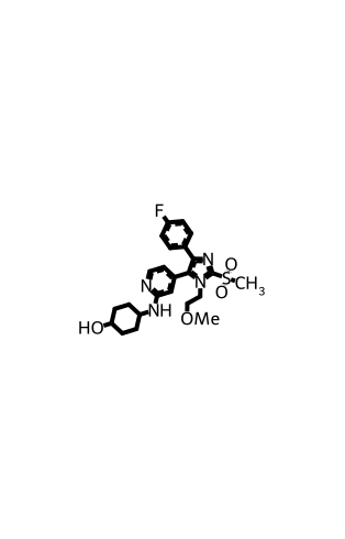 COCCn1c(S(C)(=O)=O)nc(-c2ccc(F)cc2)c1-c1ccnc(NC2CCC(O)CC2)c1